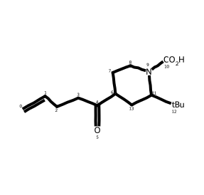 C=CCCC(=O)C1CCN(C(=O)O)C(C(C)(C)C)C1